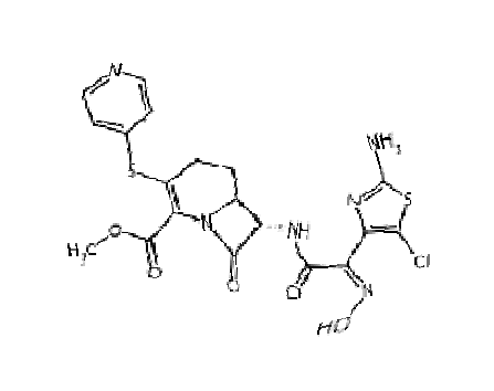 COC(=O)C1=C(Sc2ccncc2)CCC2[C@H](NC(=O)/C(=N\O)c3nc(N)sc3Cl)C(=O)N12